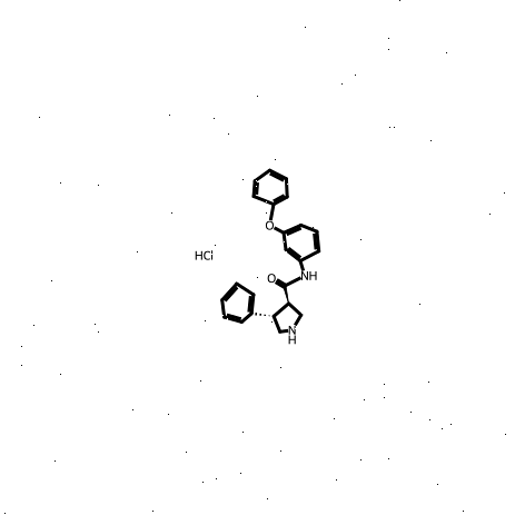 Cl.O=C(Nc1cccc(Oc2ccccc2)c1)[C@H]1CNC[C@@H]1c1ccccc1